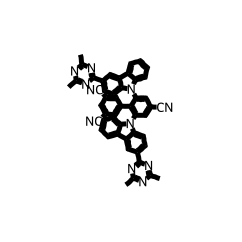 Cc1nc(C)nc(-c2ccc3c(c2)c2ccccc2n3-c2cc(C#N)cc(-n3c4ccccc4c4cc(-c5nc(C)nc(C)n5)ccc43)c2-c2cc(C#N)cc(C#N)c2)n1